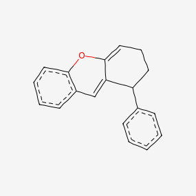 C1=C2Oc3ccccc3C=C2C(c2ccccc2)CC1